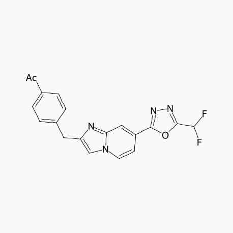 CC(=O)c1ccc(Cc2cn3ccc(-c4nnc(C(F)F)o4)cc3n2)cc1